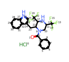 Cl.O=C(c1ccccc1)N1CC(C(F)(F)F)NC(C(F)(F)F)C1Cc1c[nH]c2ccccc12